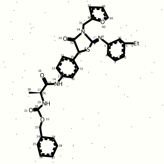 CCc1cccc(/N=C2\SC(c3ccc(NC(=O)[C@H](C)NC(=O)OCc4ccccc4)cc3)C(=O)N2Cc2ccco2)c1